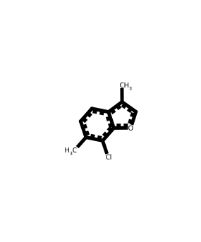 Cc1ccc2c(C)coc2c1Cl